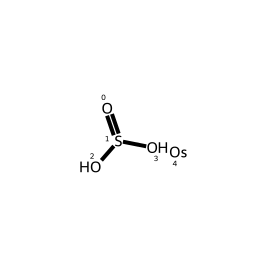 O=S(O)O.[Os]